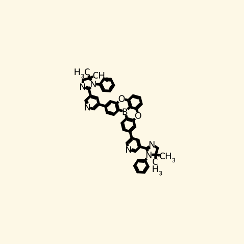 CC1(C)CN=C(c2cncc(-c3ccc4c(c3)Oc3cccc5c3B4c3ccc(-c4cncc(C6=NCC(C)(C)N6c6ccccc6)c4)cc3O5)c2)N1c1ccccc1